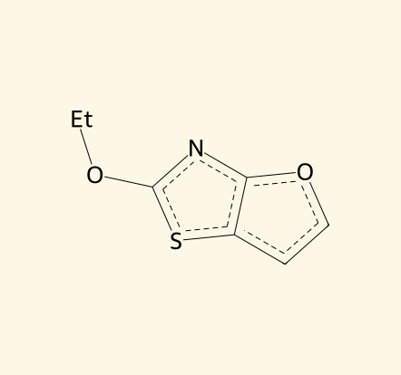 CCOc1nc2occc2s1